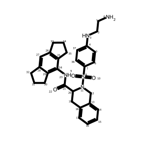 NCCNc1ccc(S(=O)(=O)N2Cc3ccccc3CC2C(=O)Nc2c3c(cc4c2CCC4)CCC3)cc1